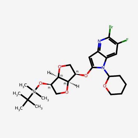 CC(C)(C)[Si](C)(C)O[C@@H]1CO[C@H]2[C@@H]1OC[C@H]2Oc1cc2nc(Br)c(F)cc2n1C1CCCCO1